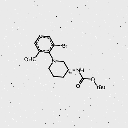 CC(C)(C)OC(=O)N[C@@H]1CCCN(c2c(Br)cccc2C=O)C1